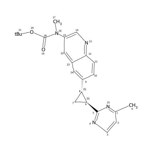 Cc1ccnc([C@H]2C[C@@H]2c2ccc3ncc(N(C)C(=O)OC(C)(C)C)cc3c2)n1